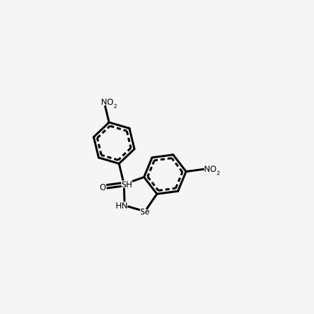 O=[N+]([O-])c1ccc([SH]2(=O)N[Se]c3cc([N+](=O)[O-])ccc32)cc1